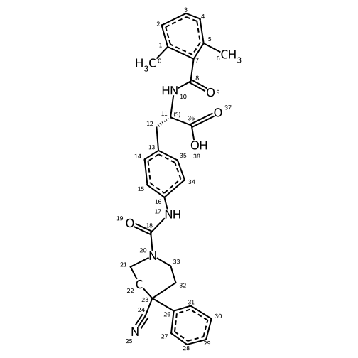 Cc1cccc(C)c1C(=O)N[C@@H](Cc1ccc(NC(=O)N2CCC(C#N)(c3ccccc3)CC2)cc1)C(=O)O